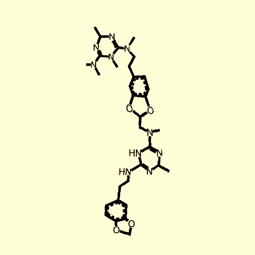 CC1N=C(NCCc2ccc3c(c2)OCO3)NC(N(C)CC2Oc3ccc(CCN(C)C4=NC(C)N=C(N(C)C)N4C)cc3O2)=N1